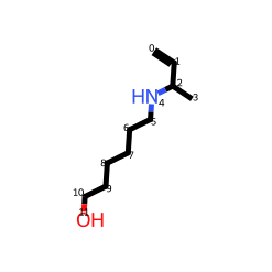 C=CC(C)NCCCCCCO